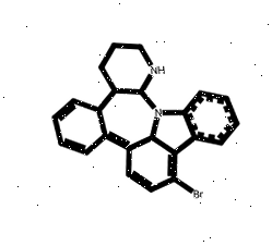 BrC1=C2c3ccccc3N3C2C(=C2C=CC=CC2C2CCCNC23)C=C1